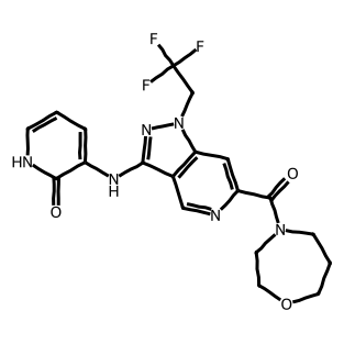 O=C(c1cc2c(cn1)c(Nc1ccc[nH]c1=O)nn2CC(F)(F)F)N1CCCOCC1